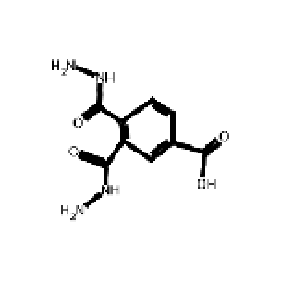 NNC(=O)c1ccc(C(=O)O)cc1C(=O)NN